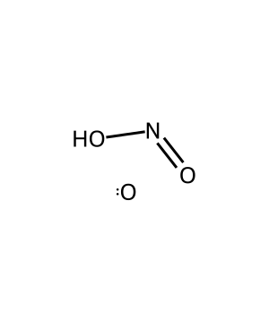 O=NO.[O]